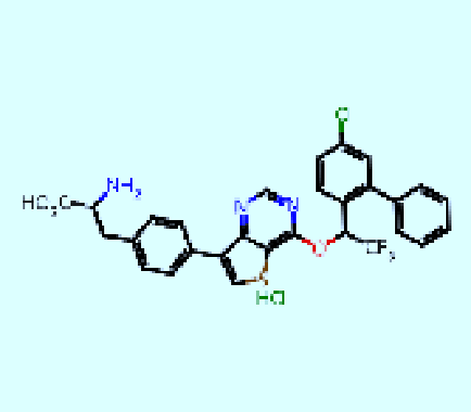 Cl.N[C@@H](Cc1ccc(-c2csc3c(OC(c4ccc(Cl)cc4-c4ccccc4)C(F)(F)F)ncnc23)cc1)C(=O)O